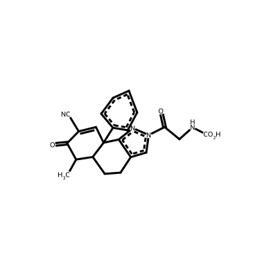 CC1C(=O)C(C#N)=CC2(c3ccccc3)c3nn(C(=O)CNC(=O)O)cc3CCC12